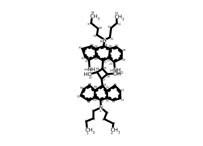 CCCCN(CCCC)c1c2ccccc2c(C2C(O)C(c3c4c(N)cccc4c(N(CCCC)CCCC)c4cccc(N)c34)C2O)c2ccccc12